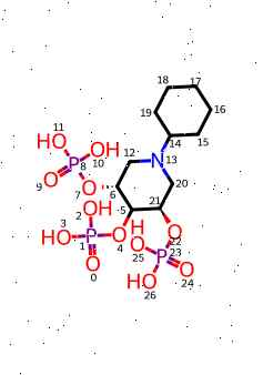 O=P(O)(O)OC1[C@H](OP(=O)(O)O)CN(C2CCCCC2)C[C@H]1OP(=O)(O)O